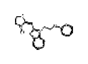 CCN1CCSC1=Cc1sc2ccccc2[n+]1CCOc1ccccc1